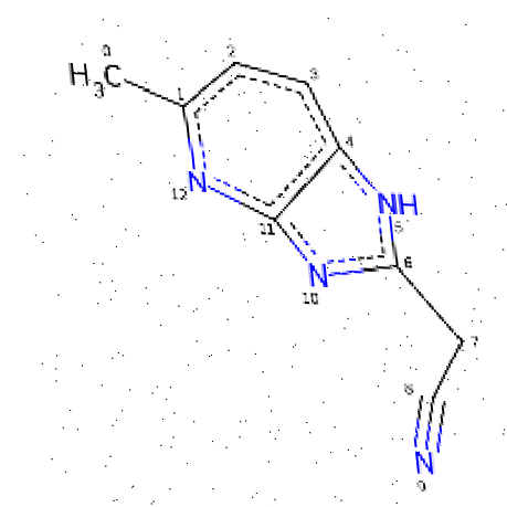 Cc1ccc2[nH]c(CC#N)nc2n1